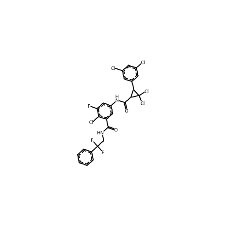 O=C(NCC(F)(F)c1ccccc1)c1cc(NC(=O)C2C(c3cc(Cl)cc(Cl)c3)C2(Cl)Cl)cc(F)c1Cl